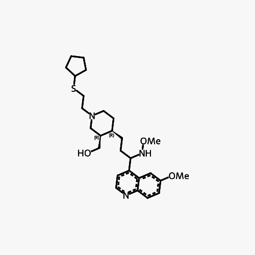 CONC(CC[C@@H]1CCN(CCSC2CCCC2)C[C@@H]1CO)c1ccnc2ccc(OC)cc12